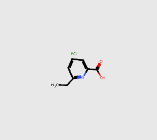 CCc1cccc(C(=O)O)n1.Cl